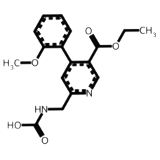 CCOC(=O)c1cnc(CNC(=O)O)cc1-c1ccccc1OC